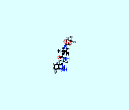 Cc1cccc2c(C(C)(C)NC(=O)[C@H]3[C@@H]4CN(C(=O)OC(C)(C)C)C[C@@H]43)n[nH]c12